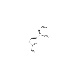 CON=C(C(=O)O)c1csc(N)c1